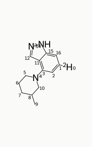 [2H]c1cc(N2CCCC(C)C2)c2cn[nH]c2c1